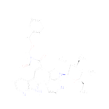 CC(=O)OC[C@H]1O[C@@H](n2cc(C3=C(c4c[nH]c5ncccc45)C(=O)N(COCc4ccccc4)C3=O)c3cccnc32)[C@H](OC(C)=O)[C@@H](OC(C)=O)[C@@H]1OC(C)=O